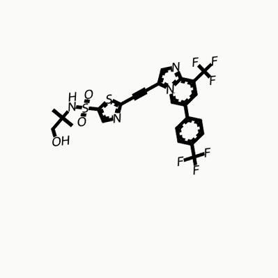 CC(C)(CO)NS(=O)(=O)c1cnc(C#Cc2cnc3c(C(F)(F)F)cc(-c4ccc(C(F)(F)F)cc4)cn23)s1